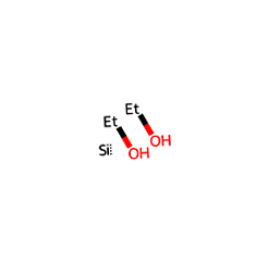 CCO.CCO.[Si]